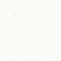 C.O=[N+]([O-])c1cccc(OS(=O)(=O)CCl)c1